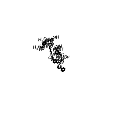 Cc1ncsc1-c1ccc([C@H](C)NC(=O)[C@@H]2C[C@@H](O)CN2C(=O)C(NC(=O)CCCCCNC(=O)COc2ccc3c(c2)CN(C(=O)C(NC(=O)c2cc4cc(C(F)(F)P(=O)(O)O)ccc4s2)C(C)(C)C)C(C(=O)N2CCCC(c4ccccc4)C2)C3)C(C)(C)C)cc1